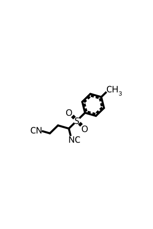 [C-]#[N+]CCC([N+]#[C-])S(=O)(=O)c1ccc(C)cc1